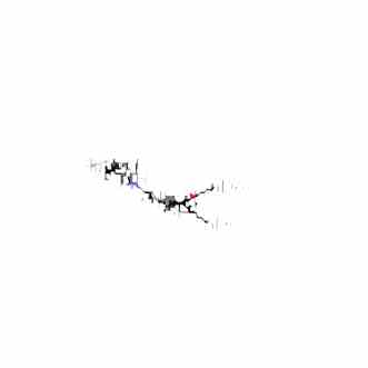 CCCCCCCCCCCCCCCC(=O)OCC(COP(=O)(O)OCCNC(=O)CCC/C=C/C(=O)NCCCC(O)(PO)P(=O)(O)O)OC(=O)CCCCCCCCCCCCCCC